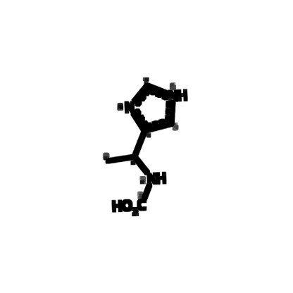 CC(NC(=O)O)c1c[nH]cn1